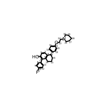 Oc1ccc2c(c1-c1ccc(F)cc1)CCC[C@H]2c1ccc(OCCN2CCCCC2)cc1